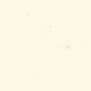 CC(=O)CCCCC[C@H](C(=O)Nc1cnc2ccccc2c1)c1sccc1C(N)=O